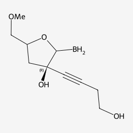 BC1OC(COC)C[C@@]1(O)C#CCCO